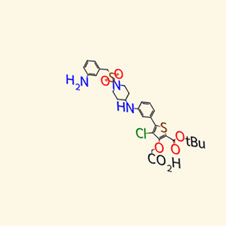 CC(C)(C)OC(=O)c1sc(-c2cccc(NC3CCN(S(=O)(=O)Cc4cccc(N)c4)CC3)c2)c(Cl)c1OCC(=O)O